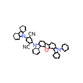 N#Cc1cc(-n2c3c(c4c2C=CCC4)CCC=C3)c(C#N)cc1N1c2ccc3c(oc4c3ccc3c4c4ccccc4n3-c3ccccc3)c2C2C=CC=CC21